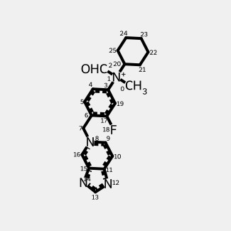 C[N+](C=O)(c1ccc(Cn2ccc3ncnc-3c2)c(F)c1)C1CCCCC1